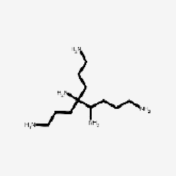 NCCCC(N)C(N)(CCCN)CCCN